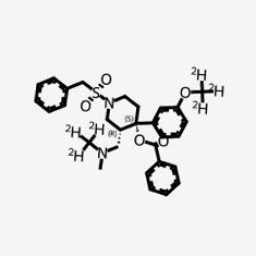 [2H]C([2H])([2H])Oc1cccc([C@]2(OC(=O)c3ccccc3)CCN(S(=O)(=O)Cc3ccccc3)C[C@H]2CN(C)C([2H])([2H])[2H])c1